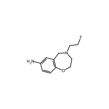 Nc1ccc2c(c1)CN(CCF)CCO2